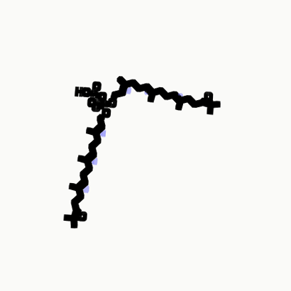 C/C(=C\CC/C(C)=C/COP(=O)(OC/C=C(\C)CC/C=C(\C)CC/C=C(\C)CCC1OC1(C)C)OP(=O)(O)O)CC/C=C(\C)CCC1OC1(C)C